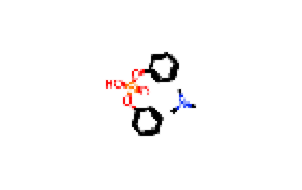 CN(C)C.O=P(O)(Oc1ccccc1)Oc1ccccc1